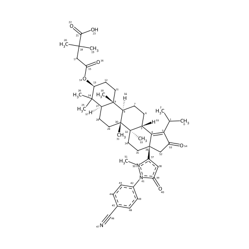 CC(C)C1=C2[C@H]3CC[C@@H]4[C@@]5(C)CC[C@H](OC(=O)CC(C)(C)C(=O)O)C(C)(C)[C@@H]5CC[C@@]4(C)[C@]3(C)CC[C@@]2(c2cc(=O)n(-c3ccc(C#N)cc3)n2C)CC1=O